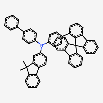 CC1(C)c2ccccc2-c2ccc(N(c3ccc(-c4ccccc4)cc3)c3ccc(-c4cccc5c4C4(c6ccccc6-c6ccccc64)c4ccccc4-5)cc3)cc21